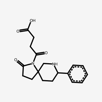 O=C(O)CCC(=O)N1C(=O)CCC12CCC(c1ccccc1)NC2